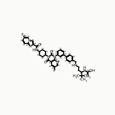 CC(C)(C)C(CCNCc1ccc(-c2cccc(-n3c(=O)n(C4CCC(NC(=O)c5cn6cc(F)ccc6n5)CC4)c(=O)c4cc(F)cnc43)c2)cc1)NC(=O)O